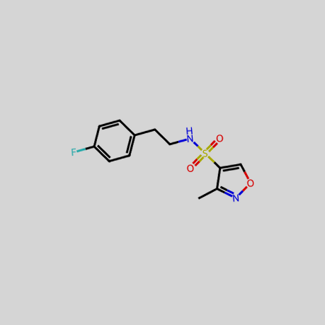 Cc1nocc1S(=O)(=O)NCCc1ccc(F)cc1